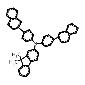 CC1(C)c2ccccc2-c2ccc(N(c3ccc(-c4ccc5ccccc5c4)cc3)c3ccc(-c4ccc5ccccc5c4)cc3)cc21